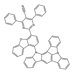 N#Cc1c(-c2ccccc2)nc(-c2ccc(-n3c4ccccc4c4cc5c6ccccc6n6c7ccccc7c(c43)c56)c3c2oc2ccccc23)nc1-c1ccccc1